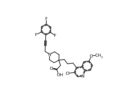 COc1ccc2ncc(Cl)c(CCCC3(CC(=O)O)CCN(CC#Cc4c(F)cc(F)cc4F)CC3)c2c1